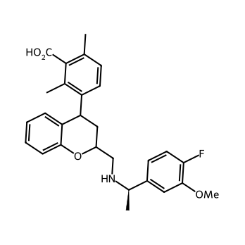 COc1cc([C@@H](C)NCC2CC(c3ccc(C)c(C(=O)O)c3C)c3ccccc3O2)ccc1F